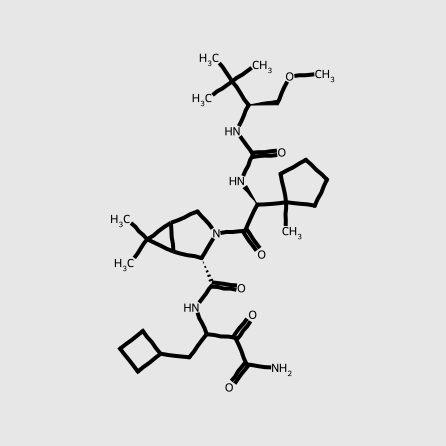 COC[C@@H](NC(=O)N[C@H](C(=O)N1CC2C([C@H]1C(=O)NC(CC1CCC1)C(=O)C(N)=O)C2(C)C)C1(C)CCCC1)C(C)(C)C